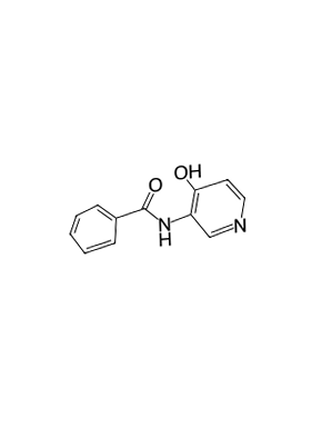 O=C(Nc1cnccc1O)c1ccccc1